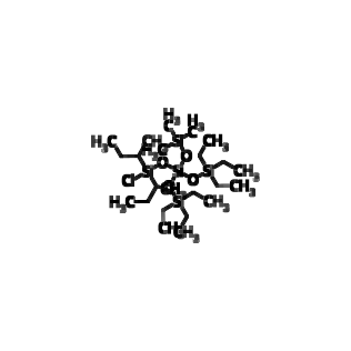 CCC(C)[Si](Cl)(O[Si](O[Si](C)(C)C)(O[Si](CC)(CC)CC)O[Si](CC)(CC)CC)C(C)CC